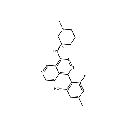 Cc1cc(O)c(-c2nnc(N[C@@H]3CCCN(C)C3)c3cnccc23)c(F)c1